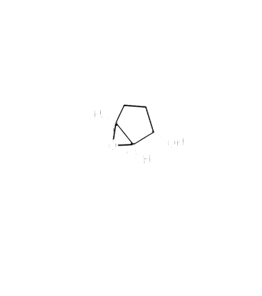 C[C@]12O[C@H]1CC[C@@H]2O